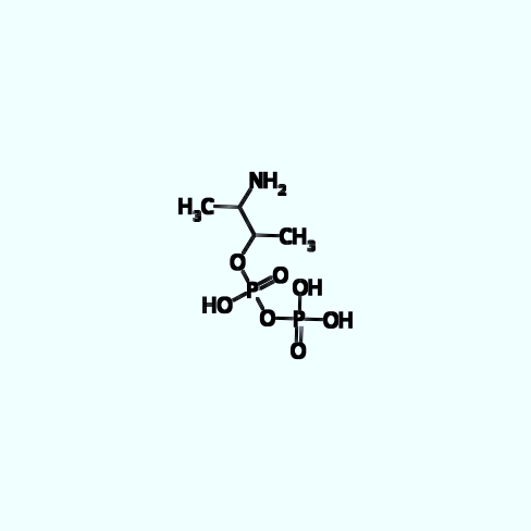 CC(N)C(C)OP(=O)(O)OP(=O)(O)O